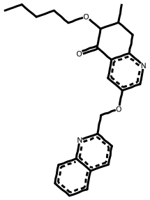 CCCCCOC1C(=O)c2cc(OCc3ccc4ccccc4n3)cnc2CC1C